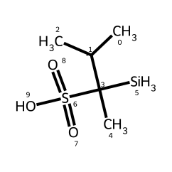 C[C](C)C(C)([SiH3])S(=O)(=O)O